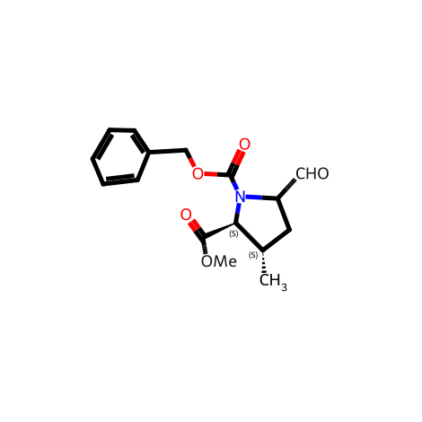 COC(=O)[C@@H]1[C@@H](C)CC(C=O)N1C(=O)OCc1ccccc1